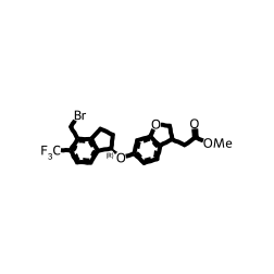 COC(=O)CC1COc2cc(O[C@@H]3CCc4c3ccc(C(F)(F)F)c4CBr)ccc21